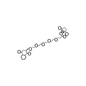 O=C(CCOCCOCCOCCOCCO/C=C1/CC(=O)c2ccccc2C1=O)ON1C(=O)CCC1=O